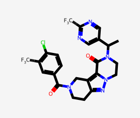 CC(c1cnc(C(F)(F)F)nc1)N1CCn2nc3c(c2C1=O)CN(C(=O)c1ccc(Cl)c(C(F)(F)F)c1)CC3